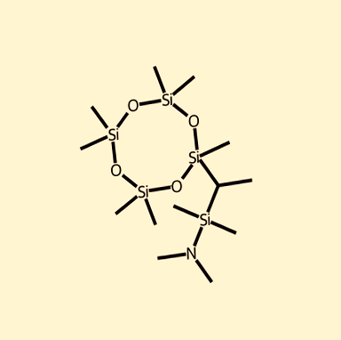 CC([Si]1(C)O[Si](C)(C)O[Si](C)(C)O[Si](C)(C)O1)[Si](C)(C)N(C)C